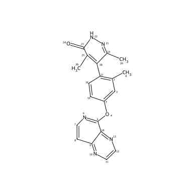 Cc1cc(Oc2nccc3nccnc23)ccc1-c1c(C)n[nH]c(=O)c1C